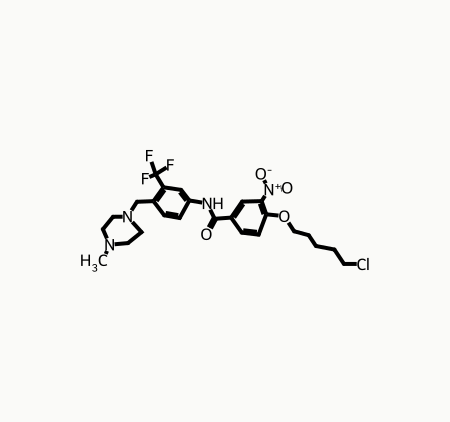 CN1CCN(Cc2ccc(NC(=O)c3ccc(OCCCCCCl)c([N+](=O)[O-])c3)cc2C(F)(F)F)CC1